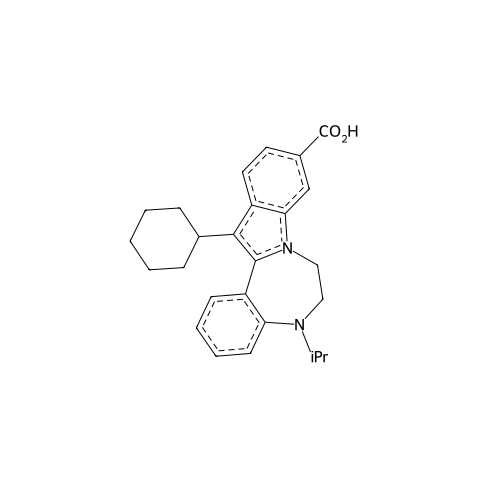 CC(C)N1CCn2c(c(C3CCCCC3)c3ccc(C(=O)O)cc32)-c2ccccc21